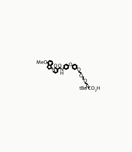 COc1cccc2c1CCC2n1cccc(C(=O)Nc2ccc(Oc3ccc(OCCOCCOCCN(C(=O)O)C(C)(C)C)cc3)cc2)c1=O